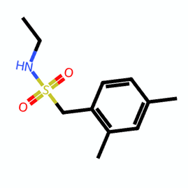 CCNS(=O)(=O)Cc1ccc(C)cc1C